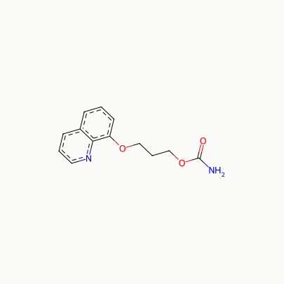 NC(=O)OCCCOc1cccc2cccnc12